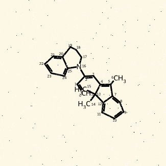 C=C/C(=C\C1=C(C)c2ccccc2C1(C)C)N1CCCc2ccccc21